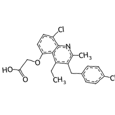 CCc1c(Cc2ccc(Cl)cc2)c(C)nc2c(Cl)ccc(OCC(=O)O)c12